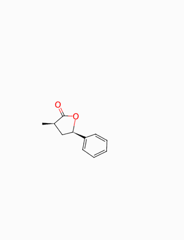 C[C@@H]1C[C@H](c2ccccc2)OC1=O